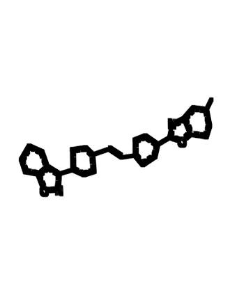 Cc1ccc2oc(-c3ccc(C=Cc4ccc(-c5noc6ccccc56)cc4)cc3)nc2c1